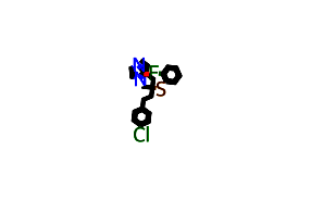 CCCCC(CCc1ccc(Cl)cc1)(Cn1ccnc1)Sc1ccccc1F